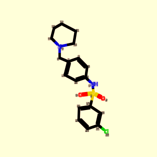 O=S(=O)(Nc1ccc(CN2CCCCC2)cc1)c1cccc(Cl)c1